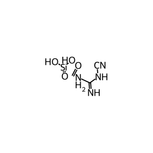 C=O.N#CNC(=N)N.O=[Si](O)O